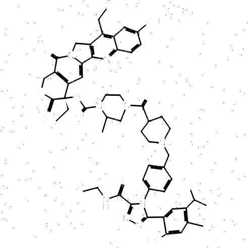 CCNC(=O)c1nnc(-c2cc(C(C)C)c(O)cc2O)n1-c1ccc(CN2CCC(C(=O)N3CCN(C(=O)O[C@]4(CC)C(=O)OCc5c4cc4n(c5=O)Cc5c-4nc4ccc(O)cc4c5CC)C(C)C3)CC2)cc1